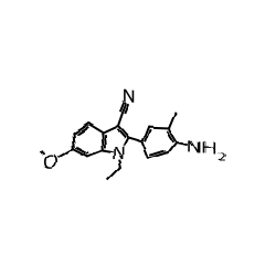 CCn1c(-c2ccc(N)c(C)c2)c(C#N)c2ccc(OC)cc21